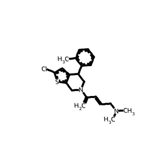 C=C(/C=C/CN(C)C)N1Cc2sc(Cl)cc2C(c2ccccc2C)C1